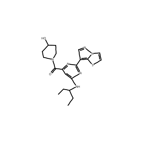 CCC(CC)Nc1cc(C(=O)N2CCC(O)CC2)nc(-c2cnn3ccsc23)n1